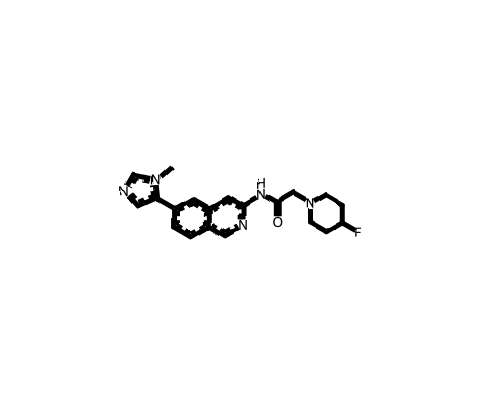 Cn1cncc1-c1ccc2cnc(NC(=O)CN3CCC(F)CC3)cc2c1